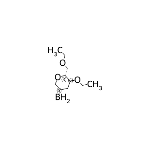 B[C@@H]1CO[C@H](COCC)[C@@H](OCC)C1